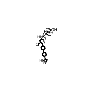 O[C@@H]1CO[C@H]2[C@@H]1OC[C@H]2Oc1nc2nc(-c3ccc(-c4ccc(-c5ccn[nH]5)cc4)cc3)c(Cl)cc2[nH]1